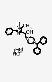 Cc1[nH]c(-c2ccccc2)nc1C(O)CN1CCN(C(c2ccccc2)c2ccccc2)CC1.Cl.Cl.Cl